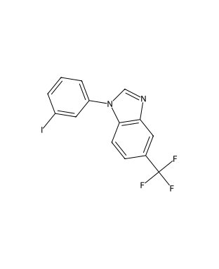 FC(F)(F)c1ccc2c(c1)ncn2-c1cccc(I)c1